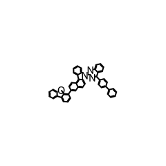 c1ccc(-c2ccc(-c3nc(-n4c5ccccc5c5c6ccc(-c7cccc8c7oc7ccccc78)cc6ccc54)nc4ccccc34)cc2)cc1